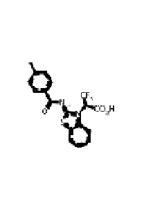 Cc1ccc(C(=O)/N=c2\sc3ccccc3n2C(C(=O)O)C(F)(F)F)cc1